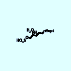 CCCCCCCCCCCCOS(=O)(=O)O.N.O